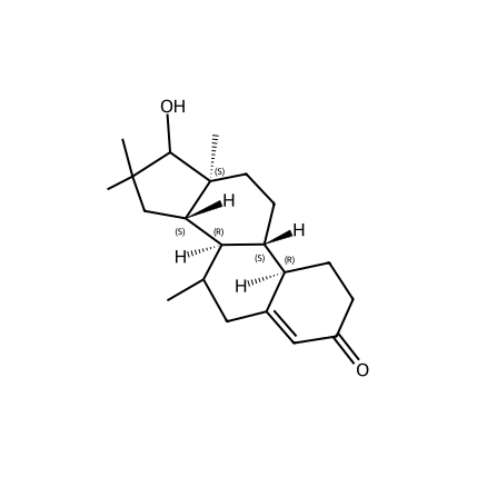 CC1CC2=CC(=O)CC[C@@H]2[C@H]2CC[C@]3(C)C(O)C(C)(C)C[C@H]3[C@H]12